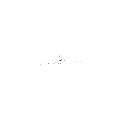 CCCCCCCCCCCCCC(=O)OCCN(CCOC(=O)CCCCCCCCCCCCC)C(=O)CC[C@@](C)(O)C(O)CCO